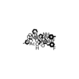 CC(=O)[C@@H]1C[C@@H](C)CN1C(=O)[C@H](C)NC(=O)[C@@H]1CCCCN1C(=O)[C@@H]1C[C@H](N)CN1C(=O)[C@@H](NC(=O)[C@H](Cc1cc(F)cc(F)c1)NC(=O)Nc1ccc(C)cc1)[C@H](C)O